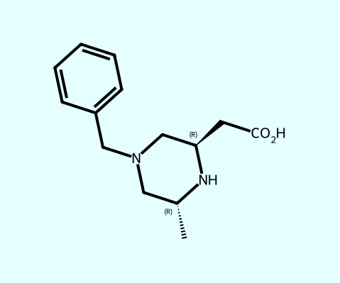 C[C@@H]1CN(Cc2ccccc2)C[C@@H](CC(=O)O)N1